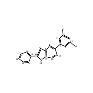 Cc1cc(C)cc(-c2cc3cc(-c4ccccc4)sc3cn2)c1